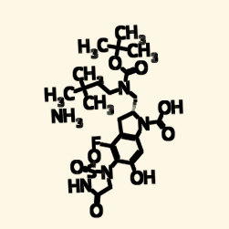 CC(C)(C)CCN(C[C@H]1Cc2c(cc(O)c(N3CC(=O)NS3(=O)=O)c2F)N1C(=O)O)C(=O)OC(C)(C)C.N